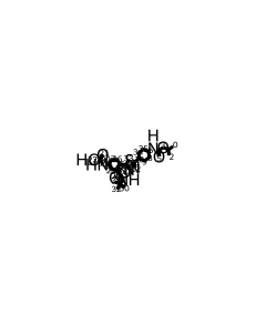 CC(C)OC(=O)NC1CCC(c2nnc(-c3ccc(NC(=O)O)cc3S(=O)(=O)NC(C)(C)C)s2)CC1